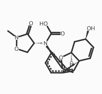 CN1CC[C@@]23C=C[C@H](O)C[C@@H]2Oc2c(N(C(=O)O)[C@@H]4CON(C)C4=O)ccc(c23)C1